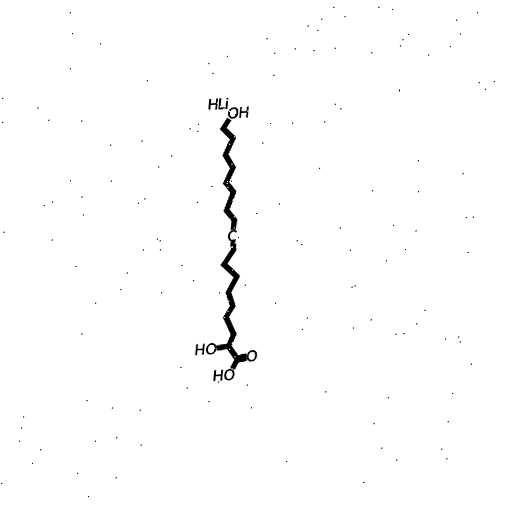 O=C(O)C(O)CCCCCCCCCCCCCCCCO.[LiH]